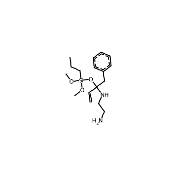 C=CC(Cc1ccccc1)(NCCN)O[Si](CCC)(OC)OC